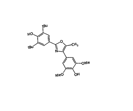 COc1cc(-c2nc(-c3cc(C(C)(C)C)c(O)c(C(C)(C)C)c3)oc2C)cc(OC)c1O